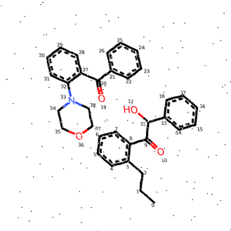 CCCc1ccccc1C(=O)C(O)c1ccccc1.O=C(c1ccccc1)c1ccccc1N1CCOCC1